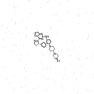 CCN1CCN(C2CCN(c3ccc(Nc4nc(N5N=CCC5c5ccccc5)c5sccc5n4)cc3)CC2)CC1